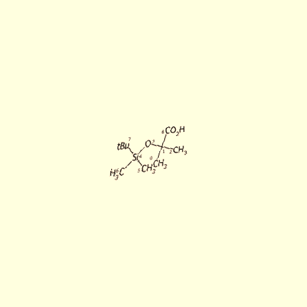 CC(C)(O[Si](C)(C)C(C)(C)C)C(=O)O